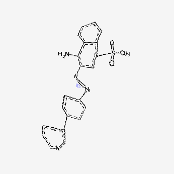 Nc1c(/N=N/c2ccc(-c3cccnc3)cc2)cc(S(=O)(=O)O)c2ccccc12